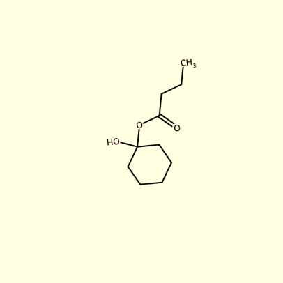 CCCC(=O)OC1(O)CCCCC1